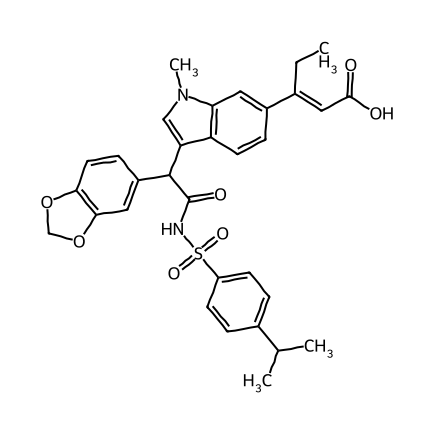 CC/C(=C\C(=O)O)c1ccc2c(C(C(=O)NS(=O)(=O)c3ccc(C(C)C)cc3)c3ccc4c(c3)OCO4)cn(C)c2c1